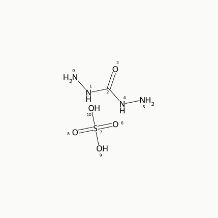 NNC(=O)NN.O=S(=O)(O)O